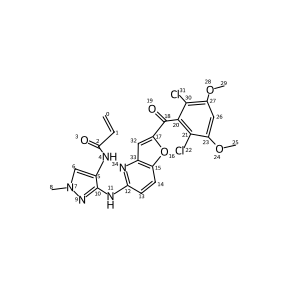 C=CC(=O)Nc1cn(C)nc1Nc1ccc2oc(C(=O)c3c(Cl)c(OC)cc(OC)c3Cl)cc2n1